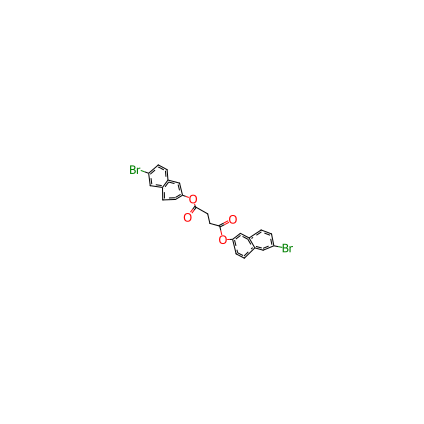 O=C(CCC(=O)Oc1ccc2cc(Br)ccc2c1)Oc1ccc2cc(Br)ccc2c1